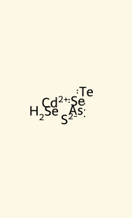 [As].[Cd+2].[S-2].[SeH2].[Se].[Te]